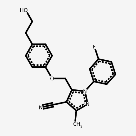 Cc1nn(-c2cccc(F)c2)c(COc2ccc(CCO)cc2)c1C#N